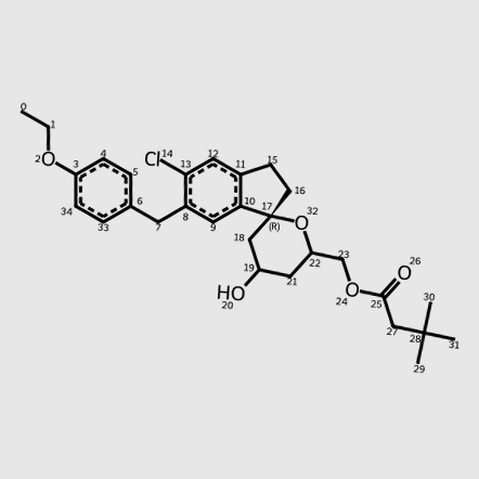 CCOc1ccc(Cc2cc3c(cc2Cl)CC[C@@]32CC(O)CC(COC(=O)CC(C)(C)C)O2)cc1